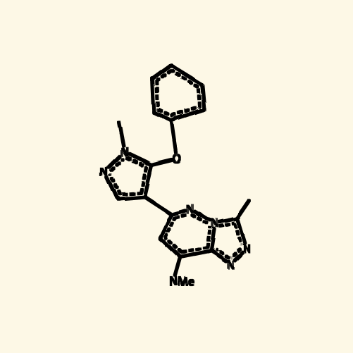 CNc1cc(-c2cnn(C)c2Oc2ccccc2)nn2c(C)nnc12